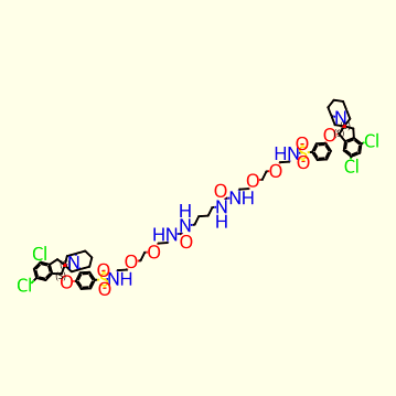 O=C(NCCCCNC(=O)NCCOCCOCCNS(=O)(=O)c1cccc(O[C@H]2c3cc(Cl)cc(Cl)c3C[C@@H]2N2C3CCCC2CCC3)c1)NCCOCCOCCNS(=O)(=O)c1ccc(O[C@H]2c3cc(Cl)cc(Cl)c3C[C@@H]2N2C3CCCC2CCC3)cc1